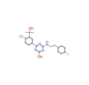 CC(C)(O)c1cc(-c2nc(O)nc(NCCc3ccc(F)cc3)n2)ccc1Cl